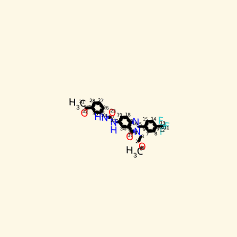 COCCn1c(-c2ccc(C(F)(F)F)cc2)nc2ccc(NC(=O)Nc3cccc(C(C)=O)c3)cc2c1=O